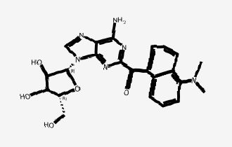 CN(C)c1cccc2c(C(=O)c3nc(N)c4ncn([C@@H]5O[C@H](CO)C(O)C5O)c4n3)cccc12